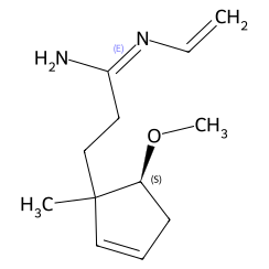 C=C/N=C(/N)CCC1(C)C=CC[C@@H]1OC